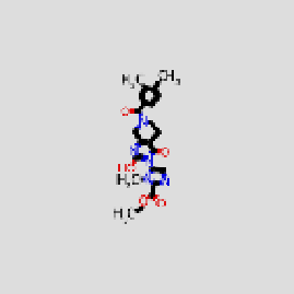 CCOC(=O)c1ncc(-n2c(O)nc3c(c2=O)CCN(C(=O)c2ccc(C)c(C)c2)C3)n1C